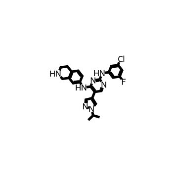 CC(C)n1cc(-c2cnc(Nc3cc(F)cc(Cl)c3)nc2Nc2ccc3c(c2)CNCC3)cn1